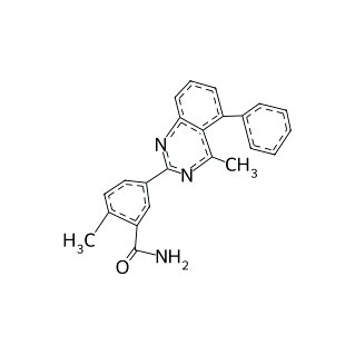 Cc1ccc(-c2nc(C)c3c(-c4ccccc4)cccc3n2)cc1C(N)=O